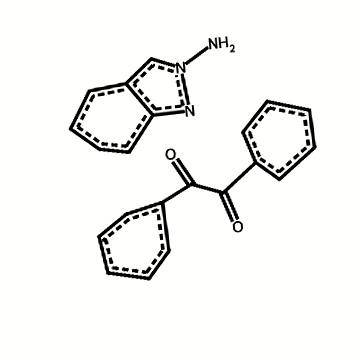 Nn1cc2ccccc2n1.O=C(C(=O)c1ccccc1)c1ccccc1